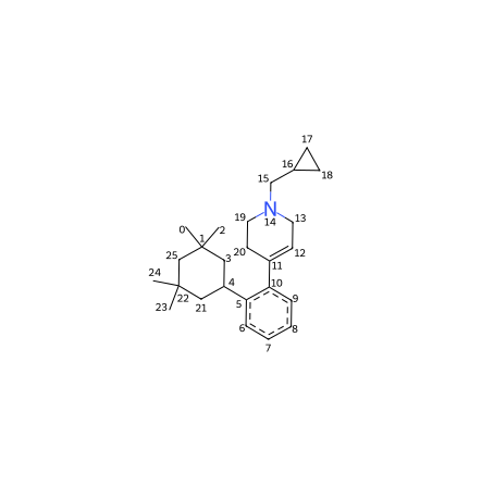 CC1(C)CC(c2ccccc2C2=CCN(CC3CC3)CC2)CC(C)(C)C1